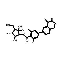 Cc1cc(-c2ccc3cc[nH]c(=O)c3c2)cc(C)c1[C@@H](O)[C@H]1OC2(O)C(CO)[C@@H](O)C(O)C12